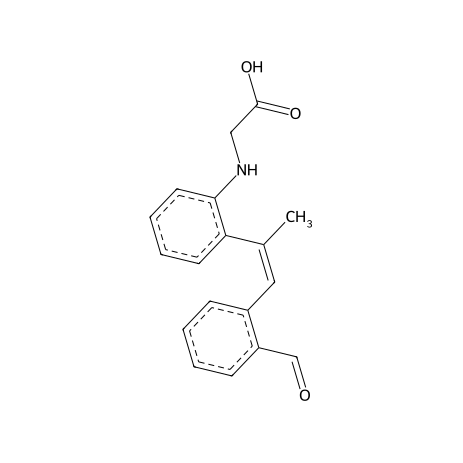 C/C(=C/c1ccccc1C=O)c1ccccc1NCC(=O)O